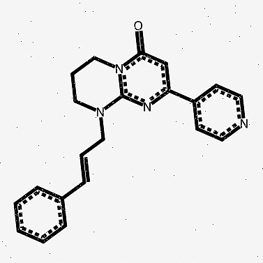 O=c1cc(-c2ccncc2)nc2n1CCCN2CC=Cc1ccccc1